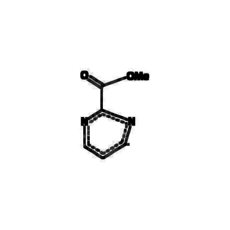 COC(=O)c1n[c]ccn1